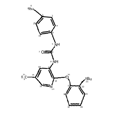 CC(C)(C)c1ccc(NC(=O)Nc2cc(C(F)(F)F)cnc2Oc2ccccc2C(C)(C)C)cc1